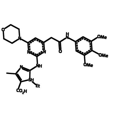 CC[SH]1C(Nc2nc(CC(=O)Nc3cc(OC)c(OC)c(OC)c3)cc(N3CCOCC3)n2)=NC(C)=C1C(=O)O